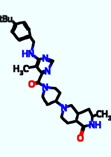 Cc1c(NCc2ccc(C(C)(C)C)cc2)ncnc1C(=O)N1CCC(N2CCC3C(=O)NC(C)CC3C2)CC1